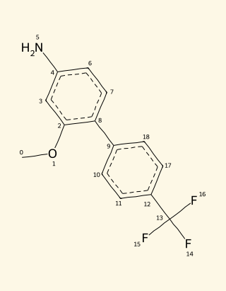 COc1cc(N)ccc1-c1ccc(C(F)(F)F)cc1